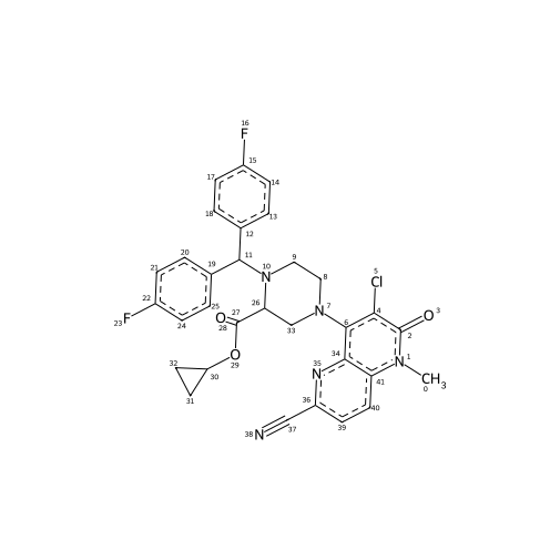 Cn1c(=O)c(Cl)c(N2CCN(C(c3ccc(F)cc3)c3ccc(F)cc3)C(C(=O)OC3CC3)C2)c2nc(C#N)ccc21